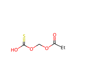 CCC(=O)OCOC(O)=S